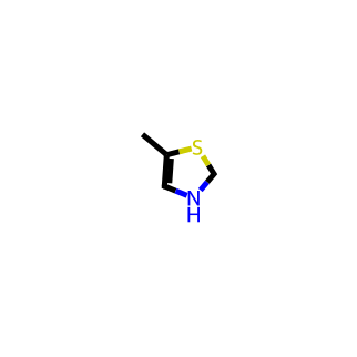 CC1=CNCS1